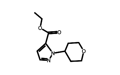 CCOC(=O)c1ccnn1C1CCOCC1